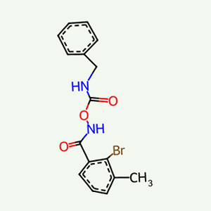 Cc1cccc(C(=O)NOC(=O)NCc2ccccc2)c1Br